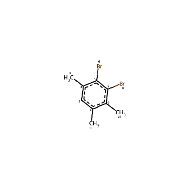 Cc1cc(C)c(Br)c(Br)c1C